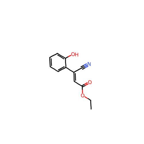 CCOC(=O)C=C(C#N)c1ccccc1O